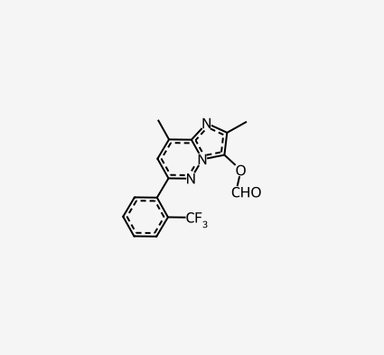 Cc1nc2c(C)cc(-c3ccccc3C(F)(F)F)nn2c1OC=O